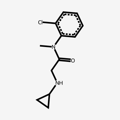 CN(C(=O)CNC1CC1)c1ccccc1Cl